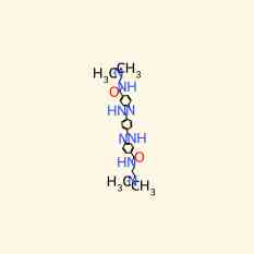 CN(C)CCCNC(=O)c1ccc2nc(-c3ccc(-c4nc5ccc(C(=O)NCCN(C)C)cc5[nH]4)cc3)[nH]c2c1